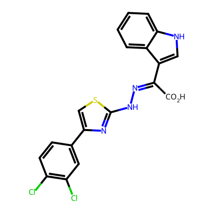 O=C(O)C(=NNc1nc(-c2ccc(Cl)c(Cl)c2)cs1)c1c[nH]c2ccccc12